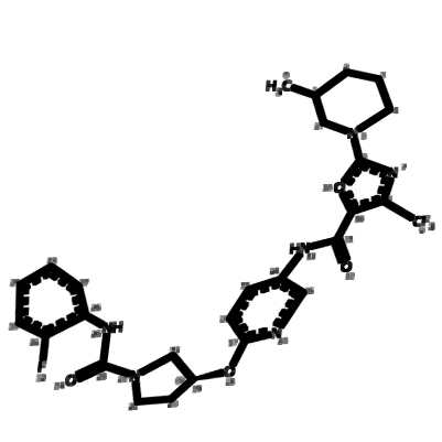 CC1CCCN(c2nc(C(F)(F)F)c(C(=O)Nc3ccc(O[C@H]4CCN(C(=O)Nc5ccccc5F)C4)nc3)o2)C1